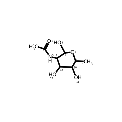 CC(=O)NC1C(O)OC(C)C(O)C1O